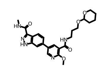 CNC(=O)c1n[nH]c2cc(-c3cnc(OC)c(C(=O)NCCCOC4CCCCO4)c3)ccc12